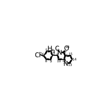 Cn1c(-c2ccc(Cl)cc2)cc2ncccc2c1=O